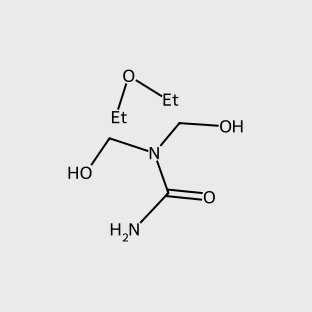 CCOCC.NC(=O)N(CO)CO